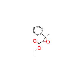 CCOC(=O)[C@@H]1O[C@]1(C)c1ccccc1